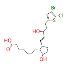 O=C(O)CCC/C=C\C[C@H]1C(O)CC[C@@H]1/C=C/[C@@H](O)CCc1cc(Br)c(Cl)s1